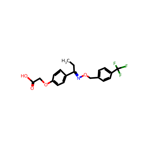 CC/C(=N\OCc1ccc(C(F)(F)F)cc1)c1ccc(OCC(=O)O)cc1